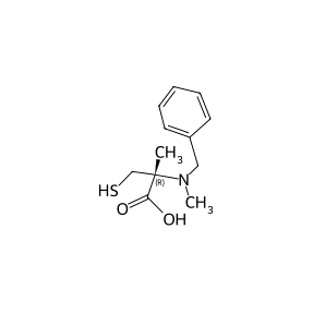 CN(Cc1ccccc1)[C@@](C)(CS)C(=O)O